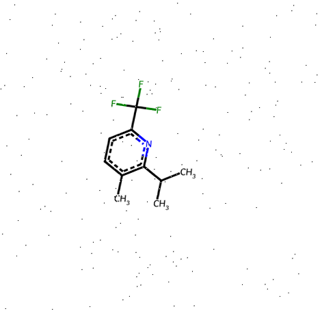 Cc1ccc(C(F)(F)F)nc1C(C)C